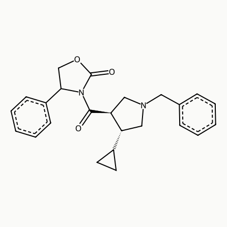 O=C1OCC(c2ccccc2)N1C(=O)[C@H]1CN(Cc2ccccc2)C[C@@H]1C1CC1